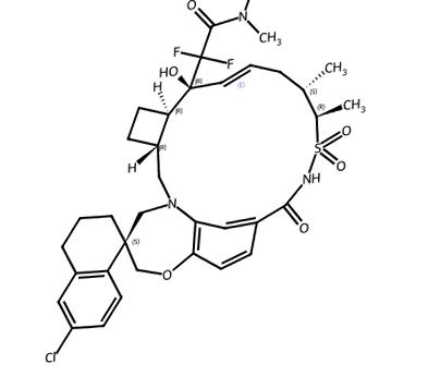 C[C@@H]1[C@@H](C)C/C=C/[C@@](O)(C(F)(F)C(=O)N(C)C)[C@@H]2CC[C@H]2CN2C[C@@]3(CCCc4cc(Cl)ccc43)COc3ccc(cc32)C(=O)NS1(=O)=O